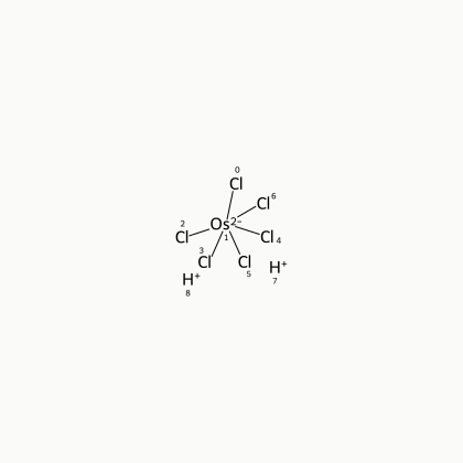 [Cl][Os-2]([Cl])([Cl])([Cl])([Cl])[Cl].[H+].[H+]